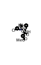 COC(=O)c1cccc(-c2nc([C@H](Cc3ccccc3)NC(=O)/C=C/c3cc(Cl)ccc3-n3cnnn3)[nH]c2Cl)c1